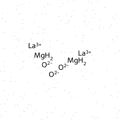 [La+3].[La+3].[MgH2].[MgH2].[O-2].[O-2].[O-2]